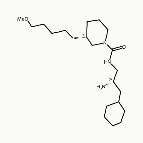 COCCCCC[C@@H]1CCCN(C(=O)NC[C@@H](N)CC2CCCCC2)C1